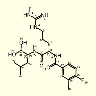 CNC(=N)NCCC[C@H](NC(=O)c1ccc(F)c(C)c1)C(=O)N[C@@H](CC(C)C)B(O)O